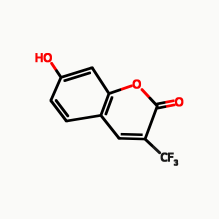 O=c1oc2cc(O)ccc2cc1C(F)(F)F